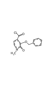 Cn1ccc(C(=O)Cl)c(OCc2ccccc2)c1=O